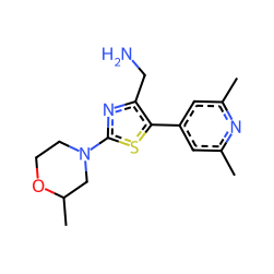 Cc1cc(-c2sc(N3CCOC(C)C3)nc2CN)cc(C)n1